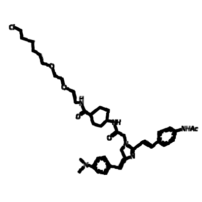 CC(=O)Nc1ccc(/C=C/C2=NC(=C/c3ccc(N(C)C)cc3)/CN2CC(=O)NC2CCC(C(=O)NCCOCCOCCCCCCCl)CC2)cc1